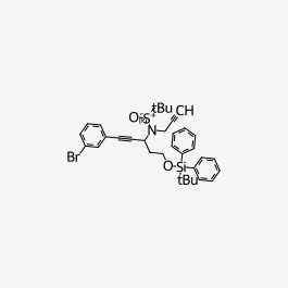 C#CCN(C(C#Cc1cccc(Br)c1)CCO[Si](c1ccccc1)(c1ccccc1)C(C)(C)C)[S@@+]([O-])C(C)(C)C